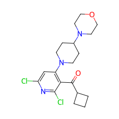 O=C(c1c(N2CCC(N3CCOCC3)CC2)cc(Cl)nc1Cl)C1CCC1